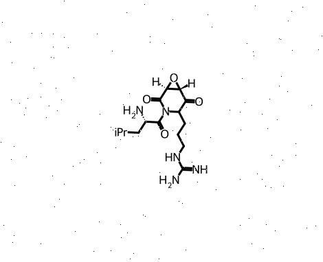 CC(C)C[C@H](N)C(=O)N1C(=O)[C@H]2O[C@@H]2C(=O)C1CCCNC(=N)N